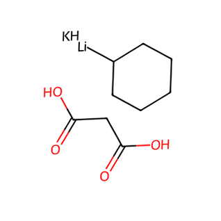 O=C(O)CC(=O)O.[KH].[Li][CH]1CCCCC1